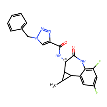 CC1C2c3cc(F)cc(F)c3NC(=O)[C@@H](NC(=O)c3cn(Cc4ccccc4)nn3)C12